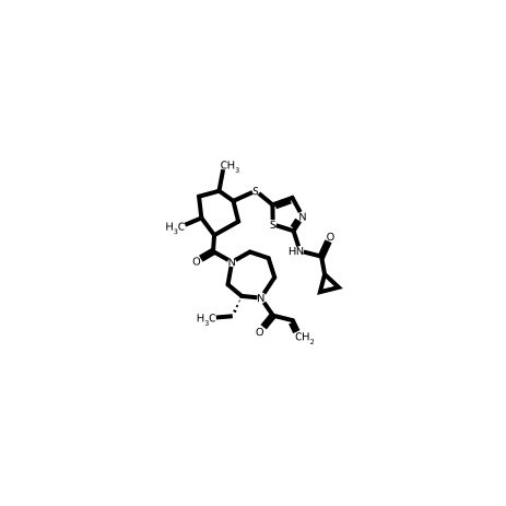 C=CC(=O)N1CCCN(C(=O)C2CC(Sc3cnc(NC(=O)C4CC4)s3)C(C)CC2C)C[C@H]1CC